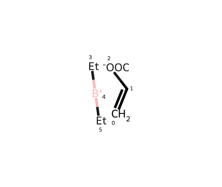 C=CC(=O)[O-].CC[B+]CC